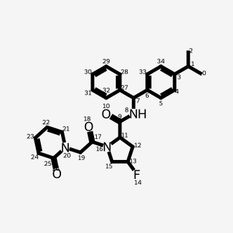 CC(C)c1ccc(C(NC(=O)C2CC(F)CN2C(=O)Cn2ccccc2=O)c2ccccc2)cc1